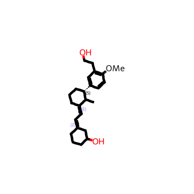 COc1ccc([C@H]2CCC/C(=C\C=C3\CCCC(O)C3)C2C)cc1CCO